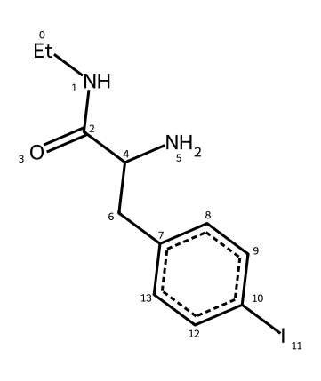 CCNC(=O)C(N)Cc1ccc(I)cc1